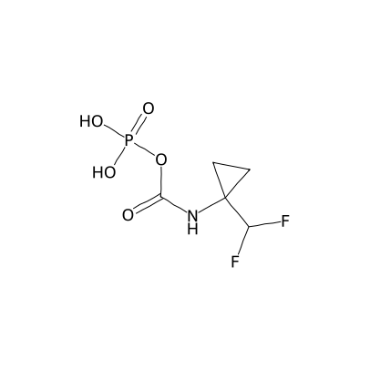 O=C(NC1(C(F)F)CC1)OP(=O)(O)O